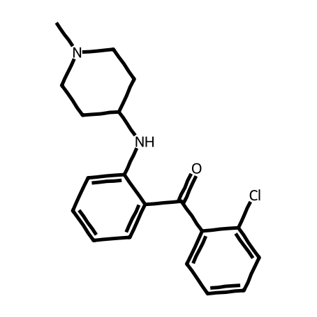 CN1CCC(Nc2ccccc2C(=O)c2ccccc2Cl)CC1